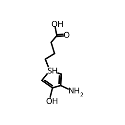 NC1=C[SH](CCCC(=O)O)C=C1O